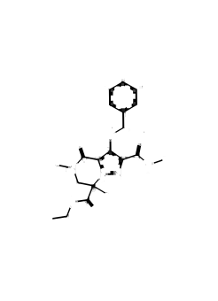 CCOC(=O)C1(C)CN(C)C(=O)c2c(OCc3ccccc3)c(C(=O)OC)nn21